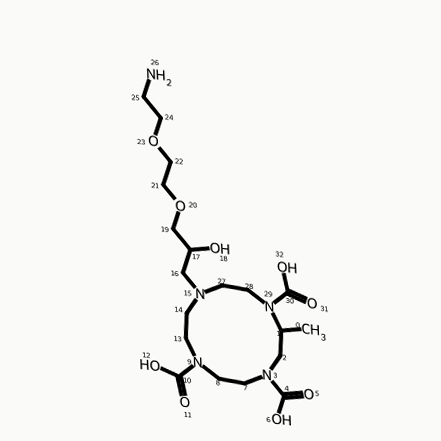 CC1CN(C(=O)O)CCN(C(=O)O)CCN(CC(O)COCCOCCN)CCN1C(=O)O